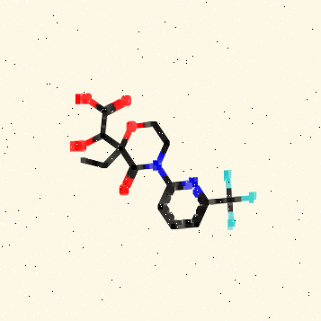 CCC1(C(O)C(=O)O)OCCN(c2cccc(C(F)(F)F)n2)C1=O